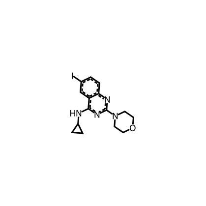 Ic1ccc2nc(N3CCOCC3)nc(NC3CC3)c2c1